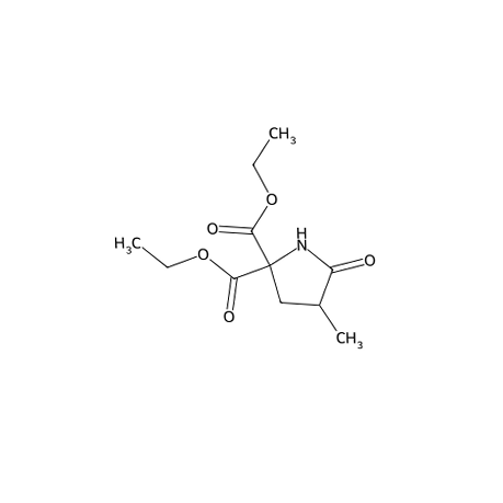 CCOC(=O)C1(C(=O)OCC)CC(C)C(=O)N1